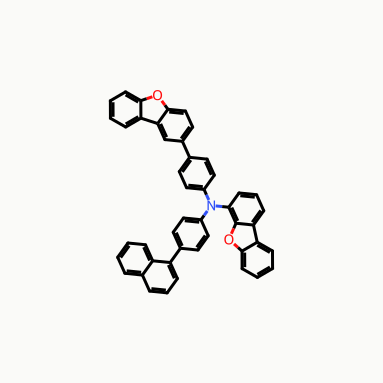 c1ccc2c(-c3ccc(N(c4ccc(-c5ccc6oc7ccccc7c6c5)cc4)c4cccc5c4oc4ccccc45)cc3)cccc2c1